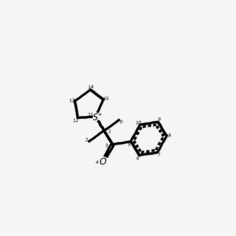 CC(C)(C(=O)c1ccccc1)[S+]1CCCC1